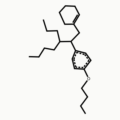 CCCCOc1ccc(C(CC2=CCCCC2)C(CCC)CCCC)cc1